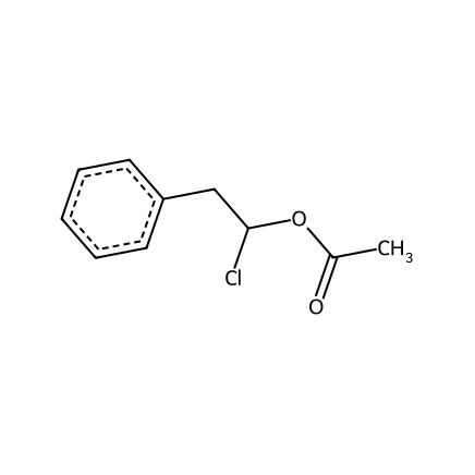 CC(=O)OC(Cl)Cc1ccccc1